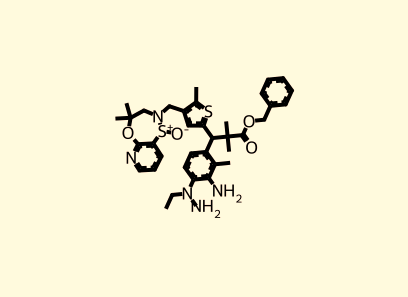 CCN(N)c1ccc(C(c2cc(CN3CC(C)(C)Oc4ncccc4[S+]3[O-])c(C)s2)C(C)(C)C(=O)OCc2ccccc2)c(C)c1N